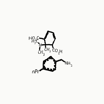 CCCc1ccc(CN)cc1.CN(C)C1(C)C(C(=O)O)=CC=CC1C(=O)O